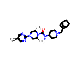 C[C@@H]1CN(c2ncc(C(F)(F)F)cn2)C[C@H](C)N1C(=O)NC1CCN(CC2CC3CCC2C3)CC1